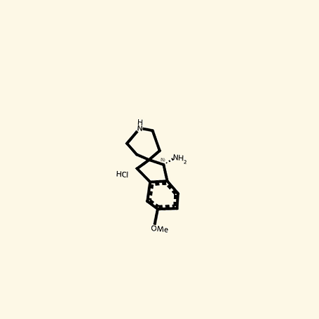 COc1ccc2c(c1)CC1(CCNCC1)[C@@H]2N.Cl